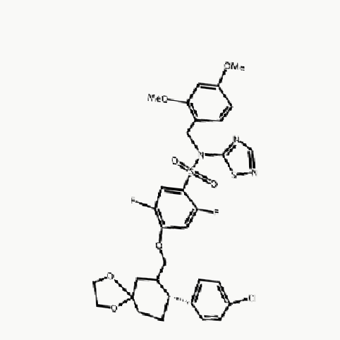 COc1ccc(CN(c2ncns2)S(=O)(=O)c2cc(F)c(OCC3CC4(CC[C@H]3c3ccc(Cl)cc3)OCCO4)cc2F)c(OC)c1